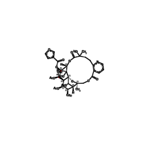 CC(=O)OC[C@]12[C@H](OC(C)=O)[C@H](OC(C)=O)[C@@H]3C(OC(C)=O)[C@@]14O[C@@]3(C)COC(=O)c1cccnc1CCC(C)(O)C(=O)O[C@@H]([C@H](OC(=O)c1ccoc1)[C@@H]2OC(C)=O)C4(C)O